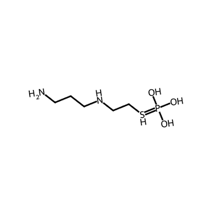 NCCCNCC[SH]=P(O)(O)O